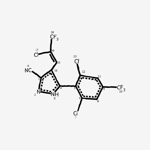 N#Cc1n[nH]c(-c2c(Cl)cc(C(F)(F)F)cc2Cl)c1C=C(Cl)C(F)(F)F